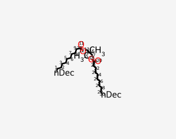 CCCCCCCCCCCCCCCCCCCC(=O)OCC(C)(C)COC(=O)CCCCCCCCCCCCCCCCCCC